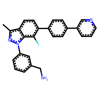 Cc1nn(-c2cccc(CN)c2)c2c(F)c(-c3ccc(-c4cccnc4)cc3)ccc12